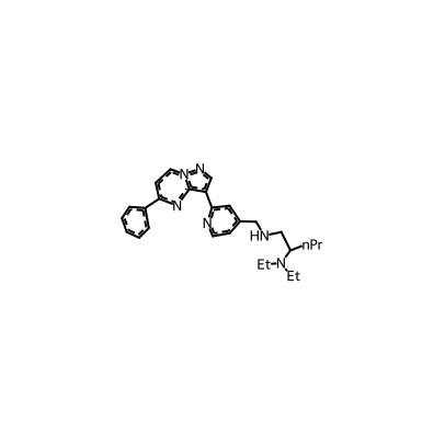 CCCC(CNCc1ccnc(-c2cnn3ccc(-c4ccccc4)nc23)c1)N(CC)CC